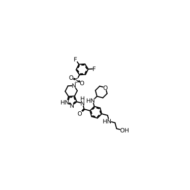 O=C(Nc1n[nH]c2c1CN(S(=O)(=O)c1cc(F)cc(F)c1)CC2)c1ccc(CNCCO)cc1NC1CCOCC1